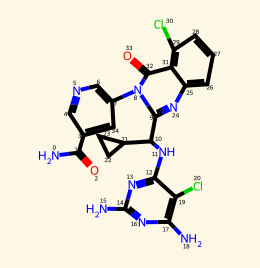 NC(=O)c1cncc(-n2c(C(Nc3nc(N)nc(N)c3Cl)C3CC3)nc3cccc(Cl)c3c2=O)c1